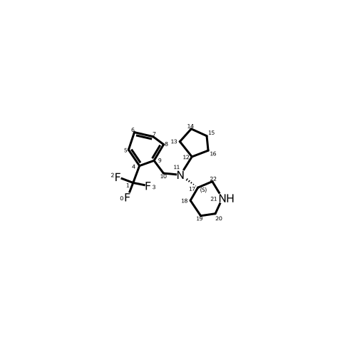 FC(F)(F)c1ccccc1CN(C1CCCC1)[C@H]1CCCNC1